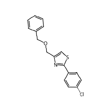 Clc1ccc(-c2nc(COCc3ccccc3)cs2)cc1